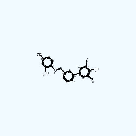 Cc1cc(Cl)ccc1OCc1cccc(-c2cc(F)c(O)c(F)c2)c1